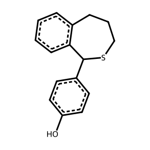 Oc1ccc(C2SCCCc3ccccc32)cc1